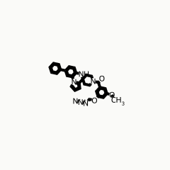 COc1cc(OCN=[N+]=[N-])cc(C(=O)N2CCC3(CC2)Nc2ccc(-c4ccccc4)cc2-n2cccc23)c1